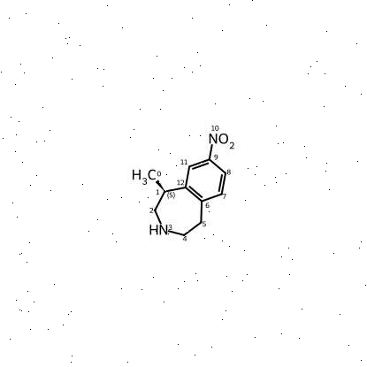 C[C@@H]1CNCCc2ccc([N+](=O)[O-])cc21